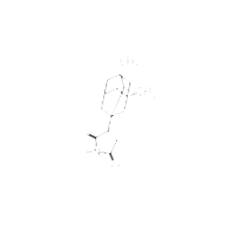 C[C@]12CC3CC(C4CC(=O)NC4=O)(C1)C[C@@](C)(C3)C2